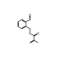 C=C(C)C(=O)OCc1ccccc1N=O